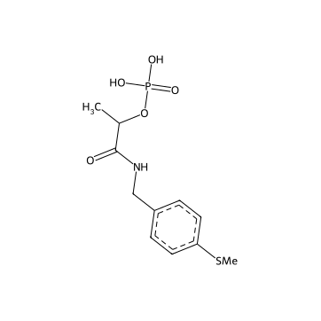 CSc1ccc(CNC(=O)C(C)OP(=O)(O)O)cc1